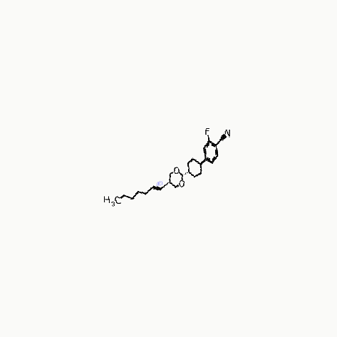 CCCCC/C=C/[C@H]1CO[C@H](C2CCC(c3ccc(C#N)c(F)c3)CC2)OC1